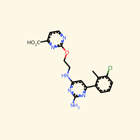 Cc1c(Cl)cccc1-c1cc(NCCOc2nccc(C(=O)O)n2)nc(N)n1